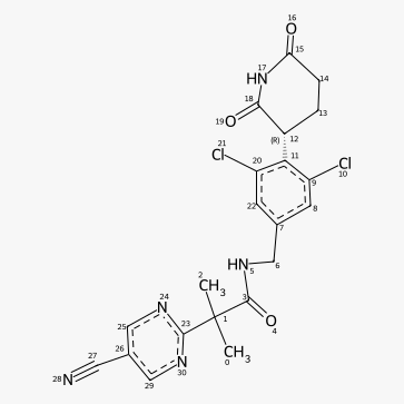 CC(C)(C(=O)NCc1cc(Cl)c([C@H]2CCC(=O)NC2=O)c(Cl)c1)c1ncc(C#N)cn1